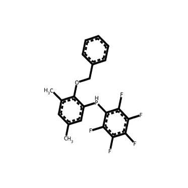 Cc1cc(C)c(OCc2ccccc2)c(Pc2c(F)c(F)c(F)c(F)c2F)c1